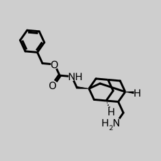 NCC1[C@@H]2CC3C[C@H]1C[C@@](CNC(=O)OCc1ccccc1)(C3)C2